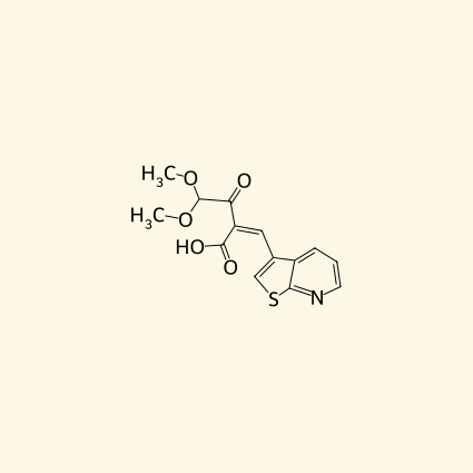 COC(OC)C(=O)/C(=C/c1csc2ncccc12)C(=O)O